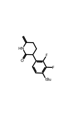 C=C1CCC(c2ccc(C(C)(C)C)c(F)c2F)C(=O)N1